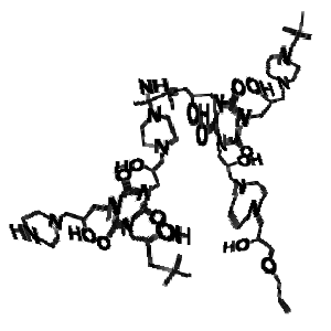 C=CCOCC(O)CN1CCN(CC(O)Cn2c(=O)n(CC(O)CN3CCN(C(C)(C)C)CC3)c(=O)n(CC(O)CC(C)(C)C(C)(N)N3CCN(CC(O)Cn4c(=O)n(CC(O)CN5CCNCC5)c(=O)n(CC(O)CC(C)(C)C)c4=O)CC3)c2=O)CC1